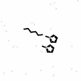 CCCCCC.Cn1cccc1.Cn1cccc1